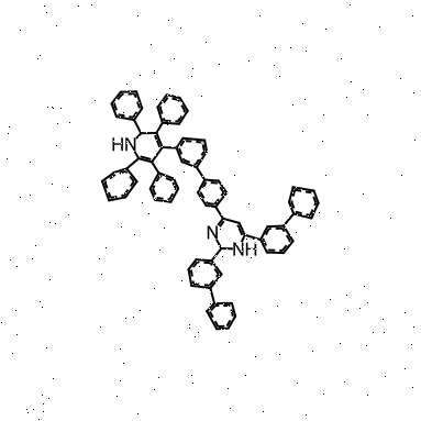 C1=C(c2cccc(-c3ccccc3)c2)NC(c2cccc(-c3ccccc3)c2)N=C1c1ccc(-c2cccc(C3=C(c4ccccc4)C(c4ccccc4)NC(c4ccccc4)=C3c3ccccc3)c2)cc1